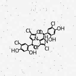 O=C(c1cc(Cl)c(O)cc1O)c1[nH]c(Cl)c(Cl)c1-n1c(C(=O)c2cc(Cl)c(O)cc2O)cc(Cl)c1Cl